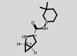 CC1(C)CCCN(NC(=O)[C@@H]2C[C@H]3C[C@H]3N2)C1